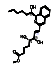 CCCCC[C@@H](O)c1nc(/C=C/[C@@H](O)[C@@H](O)CCCC(=O)OC)cc2ccccc12